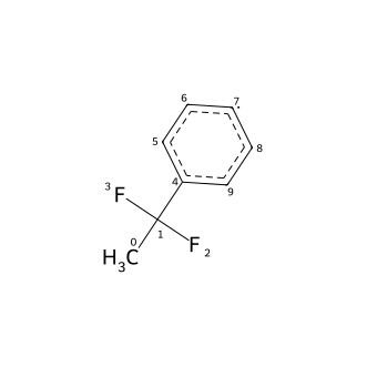 CC(F)(F)c1cc[c]cc1